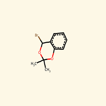 CC1(C)Oc2ccccc2C(Br)O1